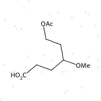 COC(CCOC(C)=O)CCC(=O)O